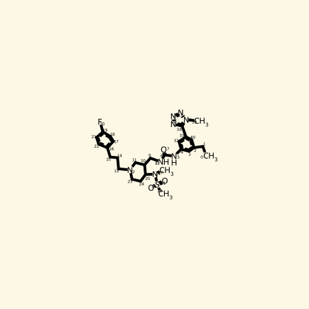 CCc1cc(NC(=O)NCC2CN(CCCc3ccc(F)cc3)CCC2N(C)S(C)(=O)=O)cc(-c2nnnn2C)c1